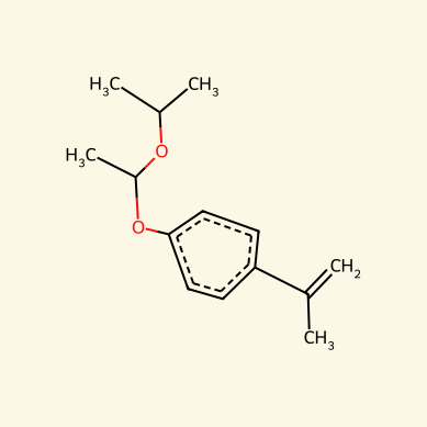 C=C(C)c1ccc(OC(C)OC(C)C)cc1